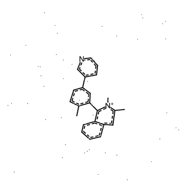 Cc1ccc(-c2cccnc2)cc1-c1c2ccccc2cc(C)[n+]1C